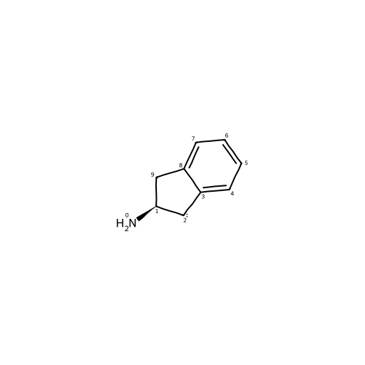 N[C@@H]1[C]c2ccccc2C1